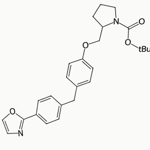 CC(C)(C)OC(=O)N1CCCC1COc1ccc(Cc2ccc(-c3ncco3)cc2)cc1